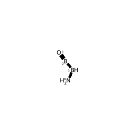 NBB=O